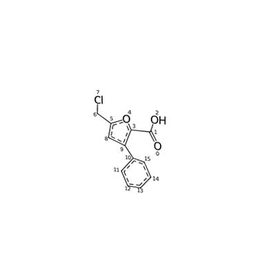 O=C(O)c1oc(CCl)cc1-c1ccccc1